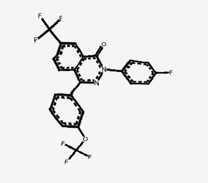 O=c1c2cc(C(F)(F)F)ccc2c(-c2cccc(OC(F)(F)F)c2)nn1-c1ccc(F)cc1